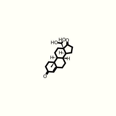 C[C@]12CCC(=O)C=C1CC[C@@H]1[C@@H]2CC[C@]2(C(O)O)C(=O)CC[C@@H]12